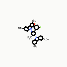 CC(C)(C)c1ccc2c(c1)c1cc(C(C)(C)C)ccc1n2-c1cc(C(F)(F)F)c(-n2c3ccc(C(C)(C)C)cc3c3cc(C(C)(C)C)ccc32)cc1-c1cc(F)cc(F)c1